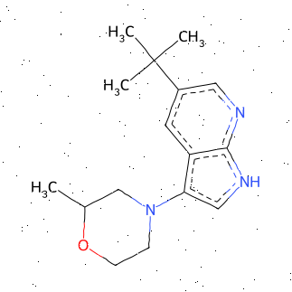 CC1CN(c2c[nH]c3ncc(C(C)(C)C)cc23)CCO1